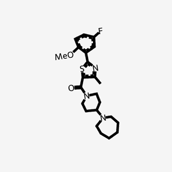 COc1ccc(F)cc1-c1nc(C)c(C(=O)N2CCC(N3CCCCCC3)CC2)s1